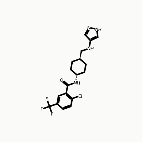 O=C(N[C@H]1CC[C@H](CNc2cn[nH]c2)CC1)c1cc(C(F)(F)F)ccc1Cl